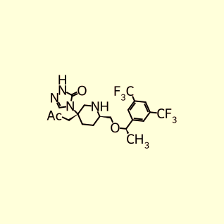 CC(=O)C[C@]1(n2cn[nH]c2=O)CC[C@H](CO[C@H](C)c2cc(C(F)(F)F)cc(C(F)(F)F)c2)NC1